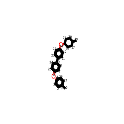 Cc1ccc(Oc2ccc(-c3ccc(OC4CCC(C)CC4)cc3)cc2)cc1